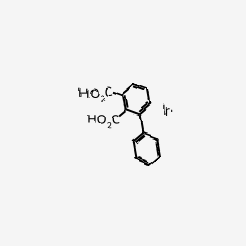 O=C(O)c1cccc(-c2ccccc2)c1C(=O)O.[Ir]